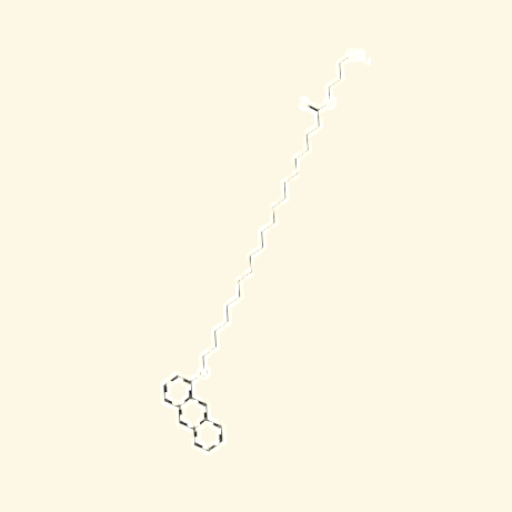 CCCCOC(=O)CCCCCCCCCCCCCCCCCCCCOc1cccc2cc3ccccc3cc12